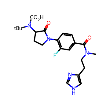 CN(CCc1c[nH]cn1)C(=O)c1ccc(N2CCC(N(C(=O)O)C(C)(C)C)C2=O)c(F)c1